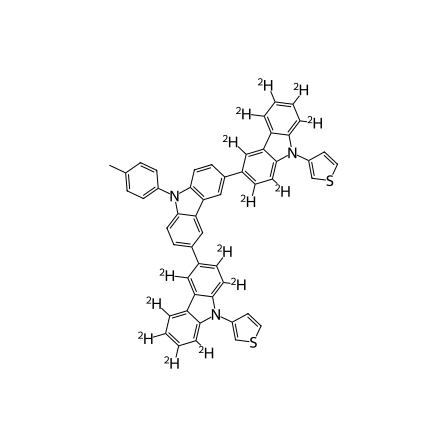 [2H]c1c([2H])c([2H])c2c(c1[2H])c1c([2H])c(-c3ccc4c(c3)c3cc(-c5c([2H])c([2H])c6c(c5[2H])c5c([2H])c([2H])c([2H])c([2H])c5n6-c5ccsc5)ccc3n4-c3ccc(C)cc3)c([2H])c([2H])c1n2-c1ccsc1